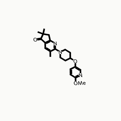 COc1ccc(OC2CCN(c3nc4c(cc3C)C(=O)C(C)(C)C4)CC2)cn1